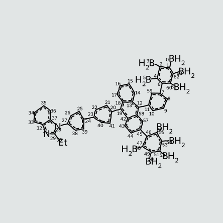 Bc1c(B)c(B)c(-c2cccc(-c3c4ccccc4c(-c4ccc(-c5ccc(-n6c(CC)nc7ccccc76)cc5)cc4)c4ccc(-c5c(B)c(B)c(B)c(B)c5B)cc34)c2)c(B)c1B